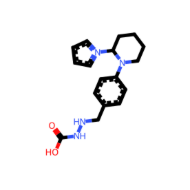 O=C(O)NNCc1ccc(N2CCCCC2n2cccc2)cc1